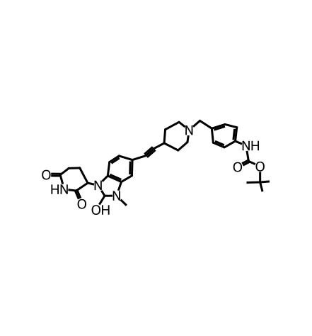 CN1c2cc(C#CC3CCN(Cc4ccc(NC(=O)OC(C)(C)C)cc4)CC3)ccc2N(C2CCC(=O)NC2=O)C1O